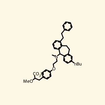 CCCCc1ccc2c(c1)CCc1c(CCc3ccccc3)cccc1C2N(C)CCOc1ccc(CC(OC)C(=O)O)cc1